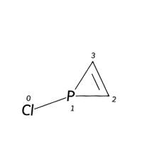 ClP1C=C1